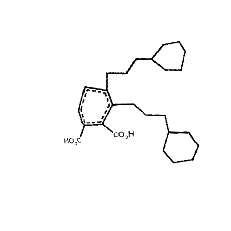 O=C(O)c1ccc(CCCC2CCCCC2)c(CCCC2CCCCC2)c1C(=O)O